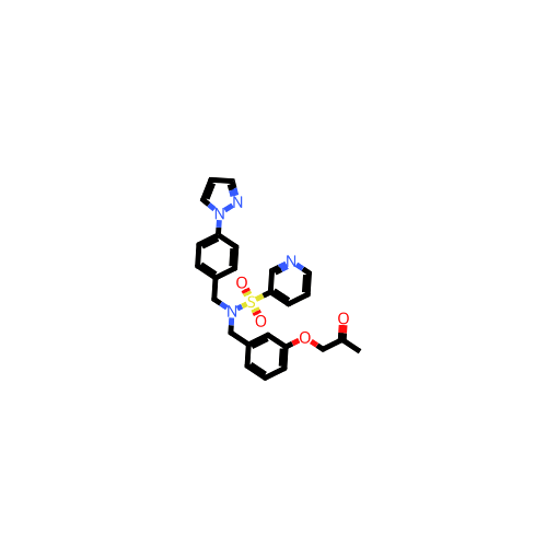 CC(=O)COc1cccc(CN(Cc2ccc(-n3cccn3)cc2)S(=O)(=O)c2cccnc2)c1